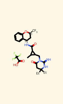 CCC1(CC)CC(=O)N(CC2C(C)C2C(=O)N[C@H]2C[C@H](C(F)(F)F)Oc3ccccc32)C(=N)N1.O=C(O)C(F)(F)F